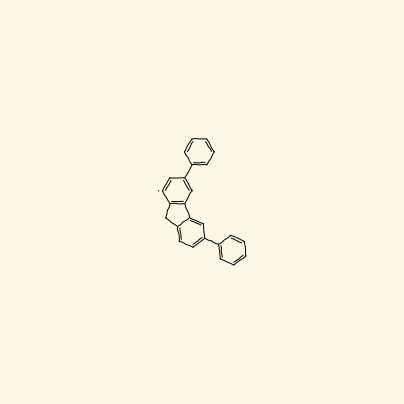 [c]1cc(-c2ccccc2)cc2c1Cc1ccc(-c3ccccc3)cc1-2